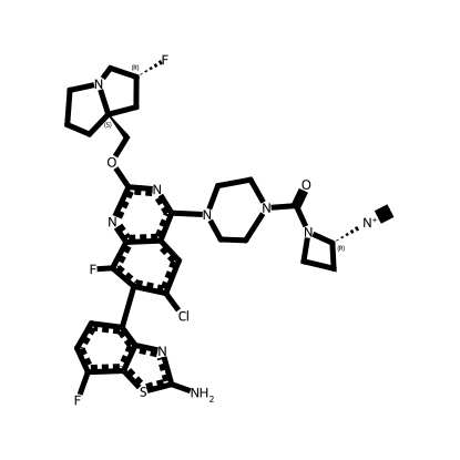 C#[N+][C@@H]1CCN1C(=O)N1CCN(c2nc(OC[C@@]34CCCN3C[C@H](F)C4)nc3c(F)c(-c4ccc(F)c5sc(N)nc45)c(Cl)cc23)CC1